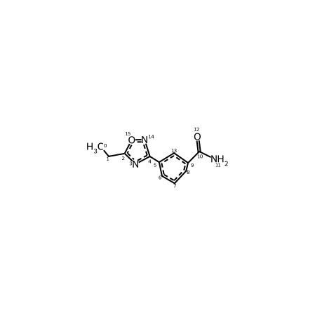 CCc1nc(-c2cccc(C(N)=O)c2)no1